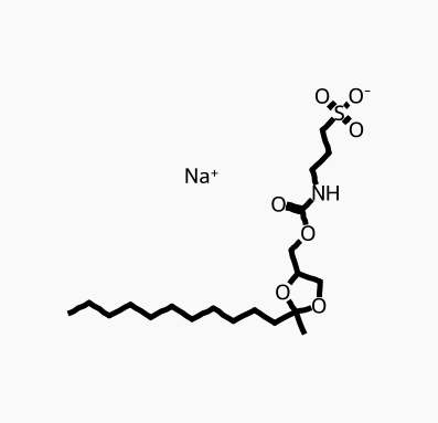 CCCCCCCCCCCC1(C)OCC(COC(=O)NCCCS(=O)(=O)[O-])O1.[Na+]